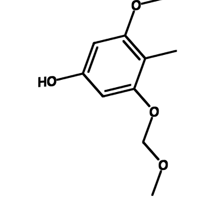 COCOc1cc(O)cc(OC)c1C